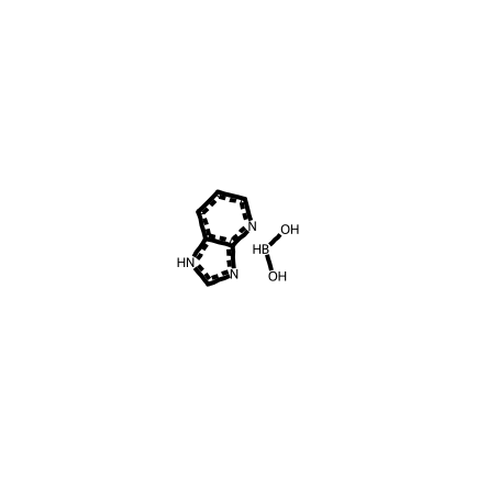 OBO.c1cnc2nc[nH]c2c1